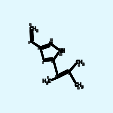 C=Cc1cc(C(C)=C(C)C)[nH]n1